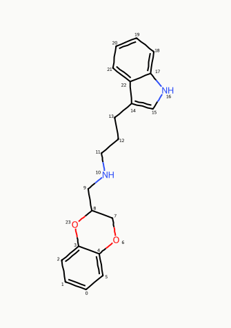 c1ccc2c(c1)OCC(CNCCCc1c[nH]c3ccccc13)O2